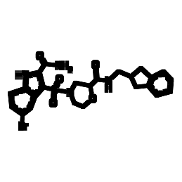 NC(=O)c1[nH]c2ccc(Br)cc2c1S(=O)(=O)N1CCOC(C(=O)NCC2Cc3ccccc3C2)C1